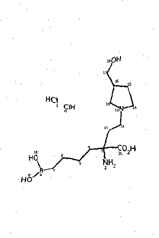 Cl.Cl.NC(CCCCB(O)O)(CCN1CCC(CO)C1)C(=O)O